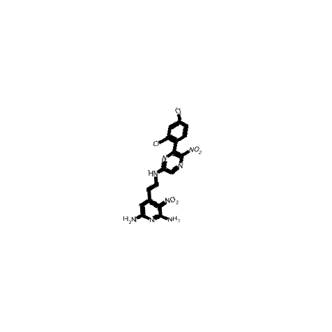 Nc1cc(CCNc2cnc([N+](=O)[O-])c(-c3ccc(Cl)cc3Cl)n2)c([N+](=O)[O-])c(N)n1